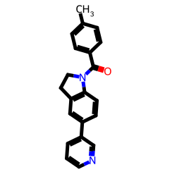 Cc1ccc(C(=O)N2CCc3cc(-c4cccnc4)ccc32)cc1